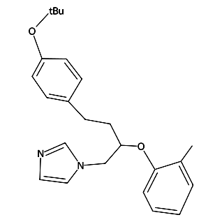 Cc1ccccc1OC(CCc1ccc(OC(C)(C)C)cc1)Cn1ccnc1